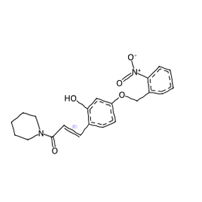 O=C(/C=C/c1ccc(OCc2ccccc2[N+](=O)[O-])cc1O)N1CCCCC1